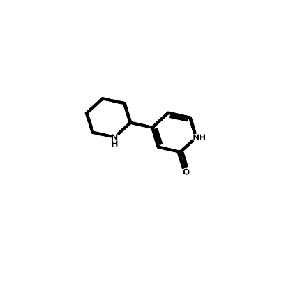 O=c1cc(C2CCCCN2)cc[nH]1